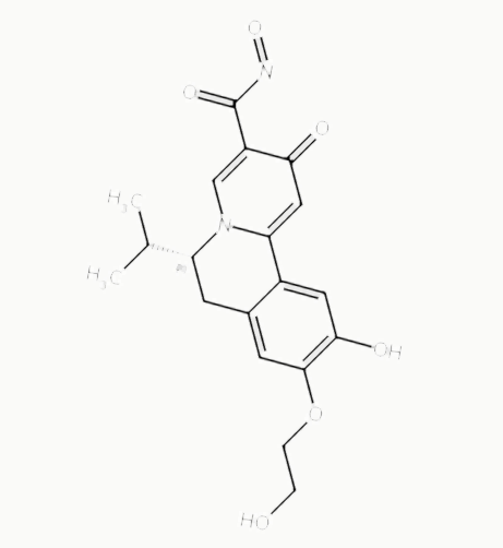 CC(C)[C@H]1Cc2cc(OCCO)c(O)cc2-c2cc(=O)c(C(=O)N=O)cn21